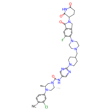 C[C@@H]1CN(c2ccc(C#N)c(Cl)c2)[C@@H](C)CN1C(=O)Nc1cnc(N2CCC(CN3CCN(c4cc5c(cc4F)C(=O)N(C4CCC(=O)NC4=O)C5)CC3)CC2)nc1